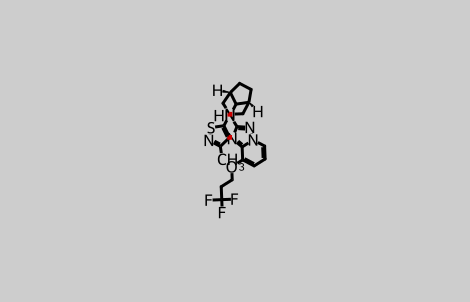 Cc1cc(N2C[C@H]3CC[C@@H](C2)C3Nc2nc3c(OCCC(F)(F)F)cccn3n2)sn1